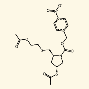 CC(=O)OCCSC[C@@H]1C[C@H](SC(C)=O)CN1C(=O)OCc1ccc([N+](=O)[O-])cc1